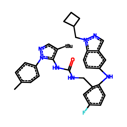 Cc1ccc(-n2ncc(C(C)(C)C)c2NC(=O)NCc2cc(F)ccc2Nc2ccc3c(cnn3CC3CCC3)c2)cc1